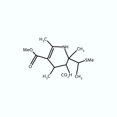 COC(=O)C1=C(C)NC(C)(C(C)SC)C(C(=O)O)C1C